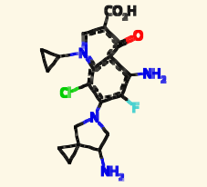 Nc1c(F)c(N2CC(N)C3(CC3)C2)c(Cl)c2c1c(=O)c(C(=O)O)cn2C1CC1